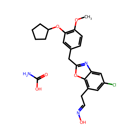 COc1ccc(Cc2nc3cc(Cl)cc(CC=NO)c3o2)cc1OC1CCCC1.NC(=O)O